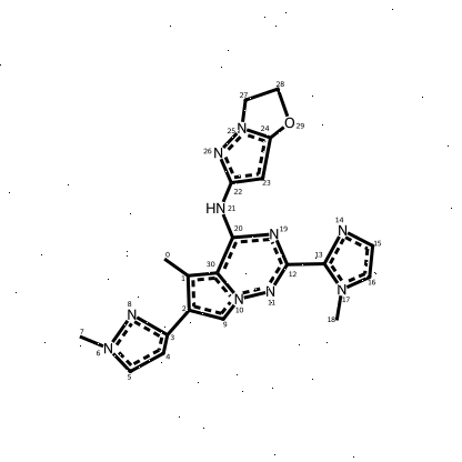 Cc1c(-c2ccn(C)n2)cn2nc(-c3nccn3C)nc(Nc3cc4n(n3)CCO4)c12